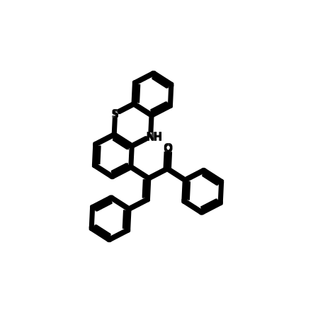 O=C(C(=Cc1ccccc1)c1cccc2c1Nc1ccccc1S2)c1ccccc1